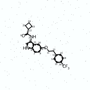 O=C(Nc1c[nH]c2ccc(OCCc3ccc(C(F)(F)F)cc3)cc12)C1CCC1